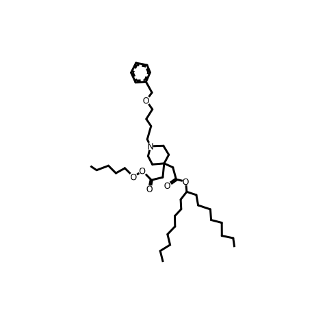 CCCCCCCCC(CCCCCCCC)OC(=O)CC1(CC(=O)OOCCCCC)CCN(CCCCOCc2ccccc2)CC1